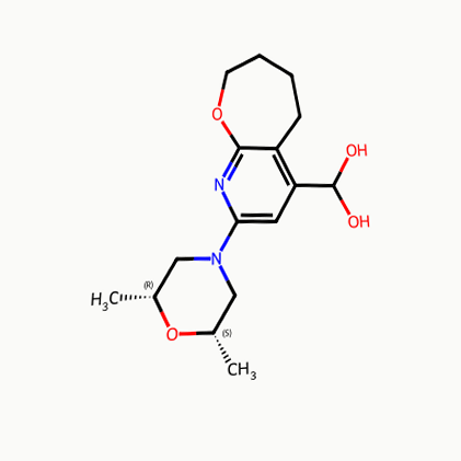 C[C@@H]1CN(c2cc(C(O)O)c3c(n2)OCCCC3)C[C@H](C)O1